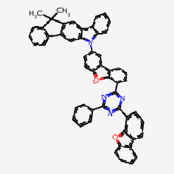 CC1(C)c2ccccc2-c2cc3c(cc21)c1ccccc1n3-c1ccc2oc3c(-c4nc(-c5ccccc5)nc(-c5cccc6c5oc5ccccc56)n4)cccc3c2c1